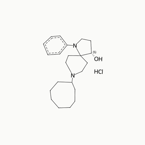 Cl.O[C@H]1CCN(c2ccccc2)C12CCN(C1CCCCCCC1)CC2